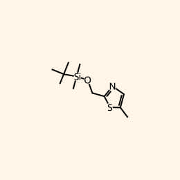 Cc1cnc(CO[Si](C)(C)C(C)(C)C)s1